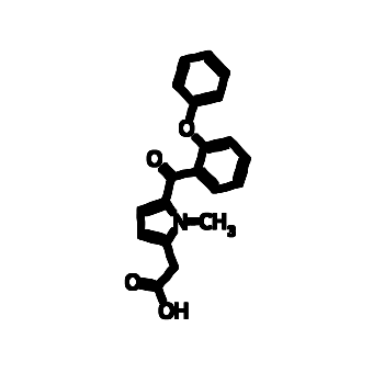 Cn1c(CC(=O)O)ccc1C(=O)c1ccccc1Oc1ccccc1